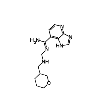 NC(=NCNCC1CCCOC1)c1ccnc2nc[nH]c12